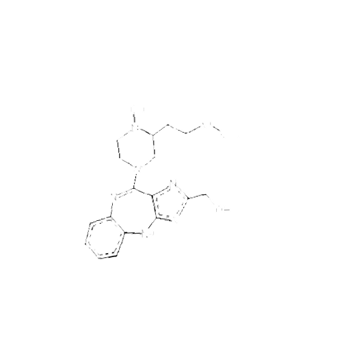 COCCC1CN(C2=Nc3ccccc3Nc3sc(CO)nc32)CCN1C